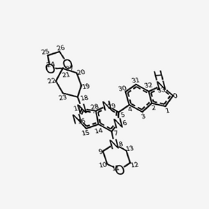 c1cc2cc(-c3nc(N4CCOCC4)c4cnn(C5CCC6(CC5)OCCO6)c4n3)ccc2[nH]1